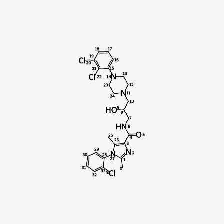 Cc1nc(C(=O)NCC(O)CN2CCN(c3cccc(Cl)c3Cl)CC2)c(C)n1-c1ccccc1Cl